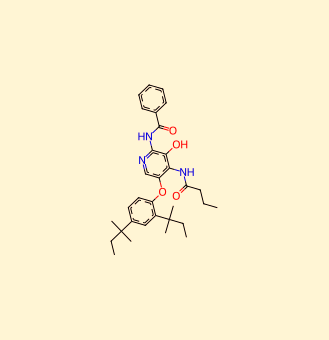 CCCC(=O)Nc1c(Oc2ccc(C(C)(C)CC)cc2C(C)(C)CC)cnc(NC(=O)c2ccccc2)c1O